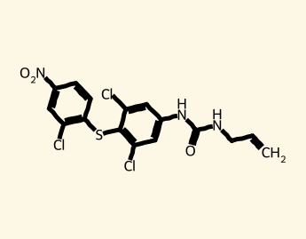 C=CCNC(=O)Nc1cc(Cl)c(Sc2ccc([N+](=O)[O-])cc2Cl)c(Cl)c1